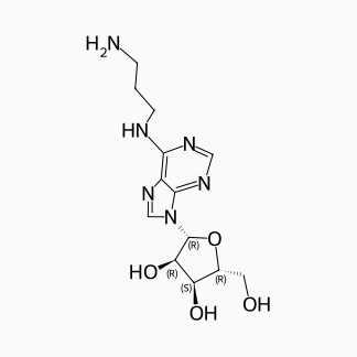 NCCCNc1ncnc2c1ncn2[C@@H]1O[C@H](CO)[C@@H](O)[C@H]1O